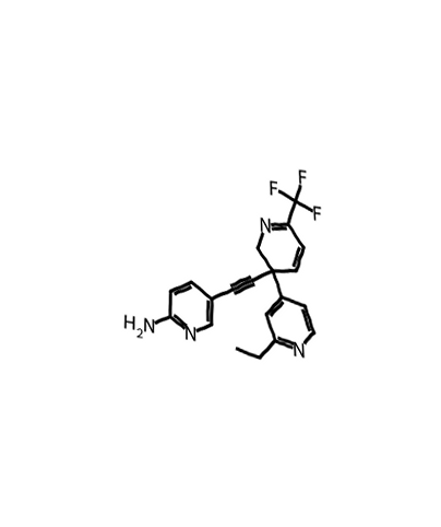 CCc1cc(C2(C#Cc3ccc(N)nc3)C=CC(C(F)(F)F)=NC2)ccn1